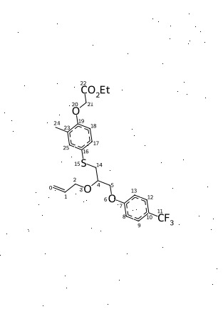 C=CCOC(COc1ccc(C(F)(F)F)cc1)CSc1ccc(OCC(=O)OCC)c(C)c1